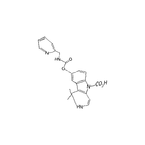 CC1(C)CNC=Cc2c1c1cc(OC(=O)NCc3ccccn3)ccc1n2C(=O)O